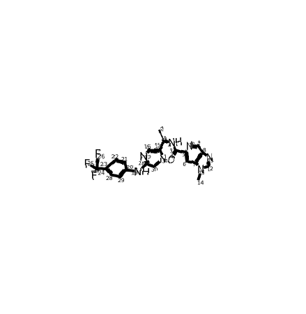 C[C@@H](NC(=O)c1cc2c(cn1)ncn2C)c1cnc(Nc2ccc(C(F)(F)F)cc2)cn1